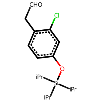 CC(C)[Si](Oc1ccc(CC=O)c(Cl)c1)(C(C)C)C(C)C